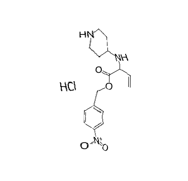 C=CC(NC1CCNCC1)C(=O)OCc1ccc([N+](=O)[O-])cc1.Cl